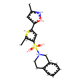 Cc1cc(-c2cc(S(=O)(=O)N3CCc4ccccc4C3)c(C)s2)on1